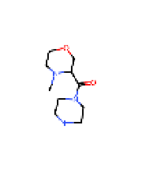 CN1CCOCC1C(=O)N1CC[N]CC1